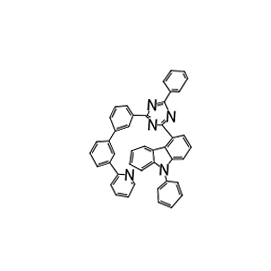 c1ccc(-c2nc(-c3cccc(-c4cccc(-c5ccccn5)c4)c3)nc(-c3cccc4c3c3ccccc3n4-c3ccccc3)n2)cc1